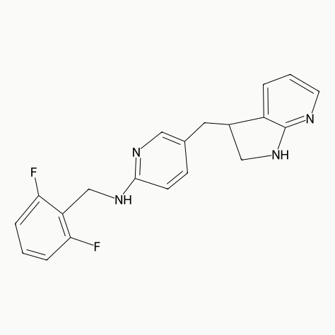 Fc1cccc(F)c1CNc1ccc(CC2CNc3ncccc32)cn1